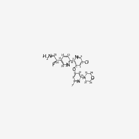 Cc1cc(Oc2cc(Cl)cnc2-c2ccc([C@@H](F)CN)cn2)cc(N2CCOCC2)n1